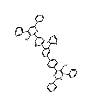 CC(C)c1c(-c2ccccc2)cc(-c2ccccc2)nc1-c1ccc(-c2ccc(-c3ccc(-c4nc(-c5ccccc5)nc(-c5ccccc5)c4C(C)C)cc3)cc2-c2ncccn2)cc1